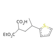 CCOC(=O)C(CC(C)c1cccs1)C(=O)O